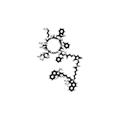 C[C@@H](O)[C@@H]1NC(=O)[C@H](CCCCN)NC(=O)[C@@H](Cc2c[nH]c3ccccc23)NC(=O)[C@H](Cc2ccccc2)NC(=O)[C@@H](NC(=O)[C@@H](Cc2ccccc2)NC(=O)CCSC2CC(=O)N(CCNC(=O)CCCCC[N+]3=C(/C=C/C=C/C=C4/N(C)c5ccc6ccccc6c5C4(C)C)C(C)(C)c4c3ccc3ccccc43)C2=O)CSSC[C@@H](C(=O)N[C@H](CO)[C@@H](C)O)NC1=O